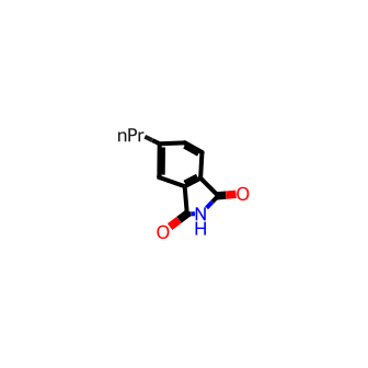 CCCc1ccc2c(c1)C(=O)NC2=O